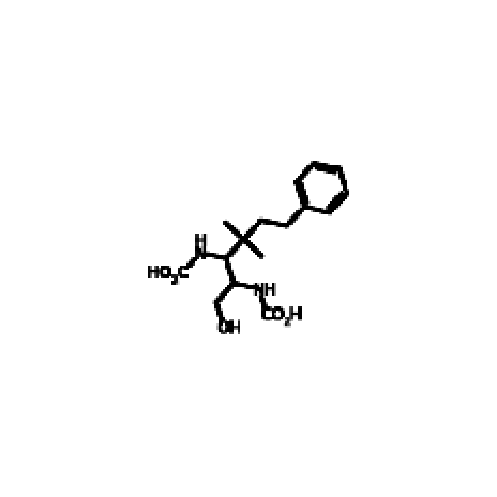 CC(C)(CCc1ccccc1)C(NC(=O)O)C(CO)NC(=O)O